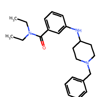 CCN(CC)C(=O)c1cccc(NC2CCN(Cc3ccccc3)CC2)c1